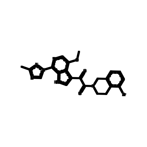 COc1cnc(-n2cnc(C)n2)c2[nH]cc(C(=O)C(=O)N3CCc4c(Br)cccc4C3)c12